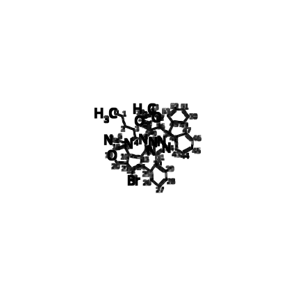 CCCCC(=NC#N)N(CC(=O)OC)Cc1c2ccocc-2c(Br)c1-c1ccccc1-c1nnn(C(c2ccccc2)(c2ccccc2)c2ccccc2)n1